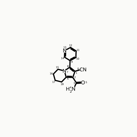 N#Cc1c(C(N)=O)c2n(c1-c1cccnc1)CCCC2